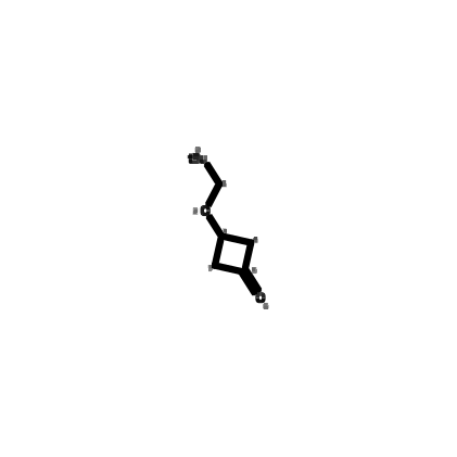 CC(C)(C)COC1CC(=O)C1